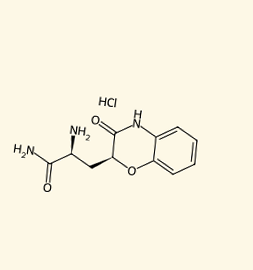 Cl.NC(=O)[C@@H](N)C[C@@H]1Oc2ccccc2NC1=O